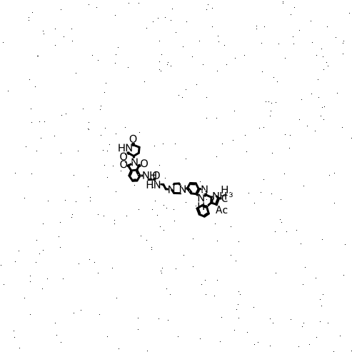 CC(=O)c1c(C)[nH]c(-c2nc3ccc(N4CCN(CCNC(=O)CNc5cccc6c5C(=O)N(C5CCC(=O)NC5=O)C6=O)CC4)cc3[nH]2)c1-c1ccccc1